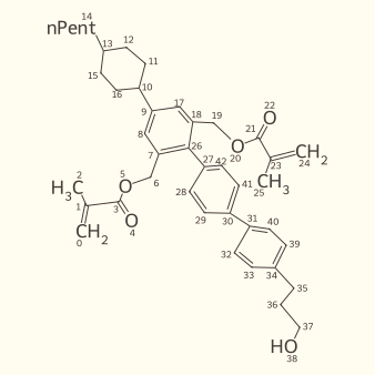 C=C(C)C(=O)OCc1cc(C2CCC(CCCCC)CC2)cc(COC(=O)C(=C)C)c1-c1ccc(-c2ccc(CCCO)cc2)cc1